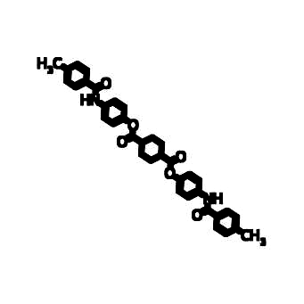 Cc1ccc(C(=O)Nc2ccc(OC(=O)C3CCC(C(=O)Oc4ccc(NC(=O)c5ccc(C)cc5)cc4)CC3)cc2)cc1